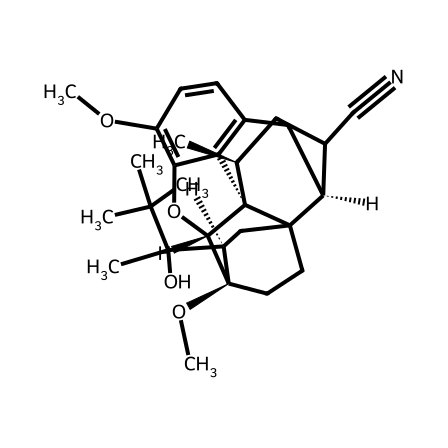 COc1ccc2c3c1O[C@H]1[C@@]4(OC)CCC5(C[C@@H]4C(C)(O)C(C)(C)C)[C@@H](C2)C(C#N)C[C@H](C)[C@]315